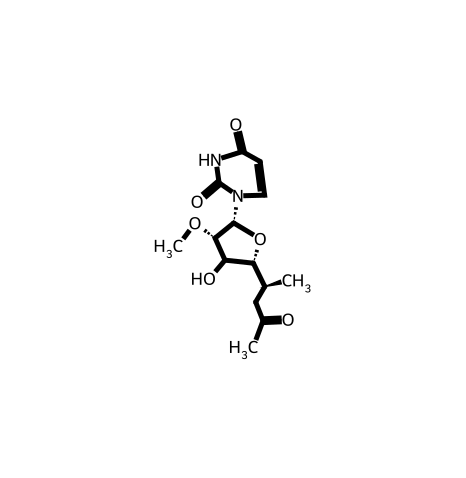 CO[C@H]1C(O)[C@@H]([C@@H](C)CC(C)=O)O[C@H]1n1ccc(=O)[nH]c1=O